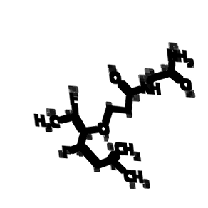 C=C(C)/C=C(F)\C(OCCC(=O)NCC(N)=O)=C(/C)F